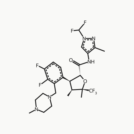 Cc1nn(C(F)F)cc1NC(=O)[C@@H]1O[C@@](C)(C(F)(F)F)[C@@H](C)[C@H]1c1ccc(F)c(F)c1CN1CCN(C)CC1